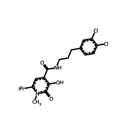 CC(C)c1cc(C(=O)NCCCc2ccc(Cl)c(Cl)c2)c(O)c(=O)n1C